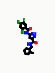 Cc1ccccc1CNC(=O)c1cc(NC(=O)c2cc(F)c(F)cc2Cl)[nH]n1